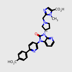 Cn1c(C(=O)O)cnc1CN1CC[C@H](n2c(=O)n(-c3ccc(-c4ccc(C(=O)O)cc4)nc3)c3cccnc32)C1